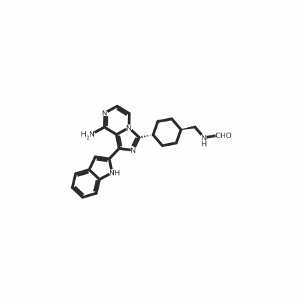 Nc1nccn2c1c(-c1cc3ccccc3[nH]1)nc2[C@H]1CC[C@H](CNC=O)CC1